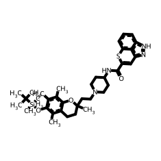 Cc1c(C)c2c(c(C)c1O[Si](C)(C)C(C)(C)C)CCC(C)(CCN1CCC(NC(=O)C3=Cc4n[nH]c5cccc(c45)S3)CC1)O2